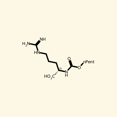 CCCCCOC(=O)N[C@@H](CCCNC(=N)N)C(=O)O